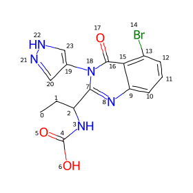 CCC(NC(=O)O)c1nc2cccc(Br)c2c(=O)n1-c1cn[nH]c1